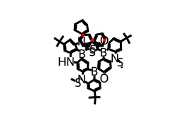 CSN1c2cc3c(cc2B2c4cc5c(cc4Oc4cc(C(C)(C)C)cc1c42)N(SC)c1cc(C(C)(C)C)cc2c1B5c1sc4ccccc4c1O2)B1c2sc4ccccc4c2N(c2ccccc2)c2cc(C(C)(C)C)cc(c21)N3